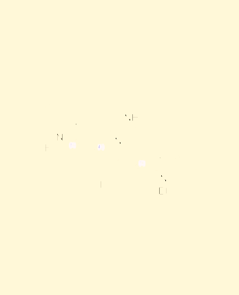 CCN1/C(=C/C=C2\CCCC(/C=C/C3=[N+](CC)c4ccccc4C3(C)C)=C2N2CCNCC2)C(C)(C)c2ccccc21.[I-]